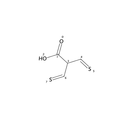 O=C(O)C(C=S)C=S